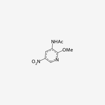 COc1ncc([N+](=O)[O-])cc1NC(C)=O